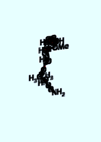 CO[C@@H](CCn1cc(C#CCNC(=O)OCCCCOCSSC(C)(C)CCOC(=O)NCCOCCOCCN)c(=O)[nH]c1=O)COP(=O)(O)OP(=O)(O)OP(=O)(O)O